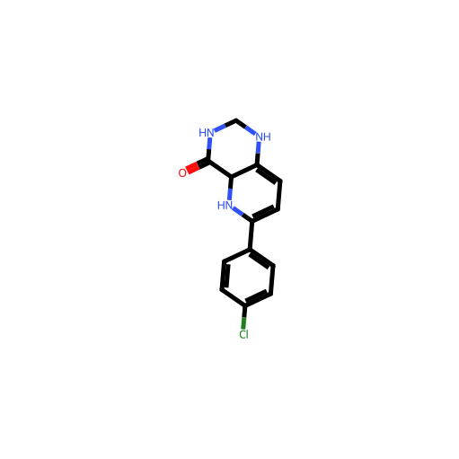 O=C1NCNC2=CC=C(c3ccc(Cl)cc3)NC12